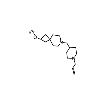 C=CCN1CCC(CN2CCC3(CC2)CC(OC(C)C)C3)CC1